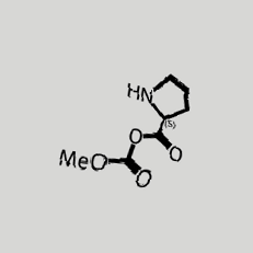 COC(=O)OC(=O)[C@@H]1CCCN1